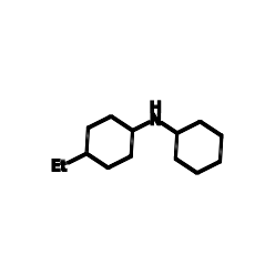 CCC1CCC(NC2CCCCC2)CC1